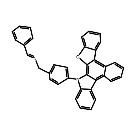 C(=N\Cc1ccc(-n2c3ccccc3c3c4ccccc4c4c5ccccc5oc4c32)cc1)/c1ccccc1